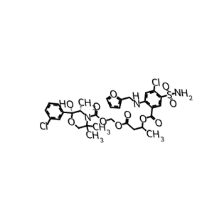 CC(CC(=O)OCOC(=O)N1[C@@H](C)[C@](O)(c2cccc(Cl)c2)OCC1(C)C)OC(=O)c1cc(S(N)(=O)=O)c(Cl)cc1NCc1ccco1